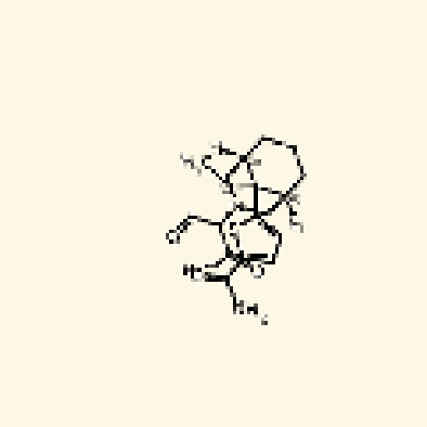 COC1(c2ccc(C(N)=O)s2)[C@@H]2CCC[C@H]1CN(C(C=O)C(C)=O)C2